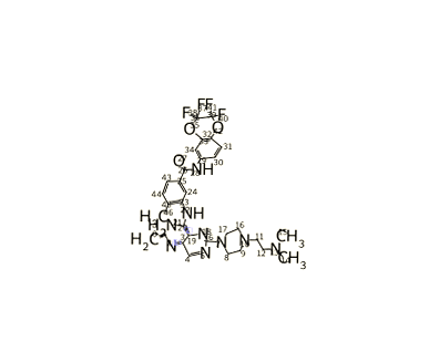 C=C/N=C1/C=NC(N2CCN(CCN(C)C)CC2)=N/C1=C(/N)Nc1cc(C(=O)Nc2ccc3c(c2)OC(F)(F)C(F)(F)O3)ccc1C